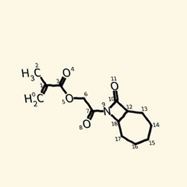 C=C(C)C(=O)OCC(=O)N1C(=O)C2CCCCCC21